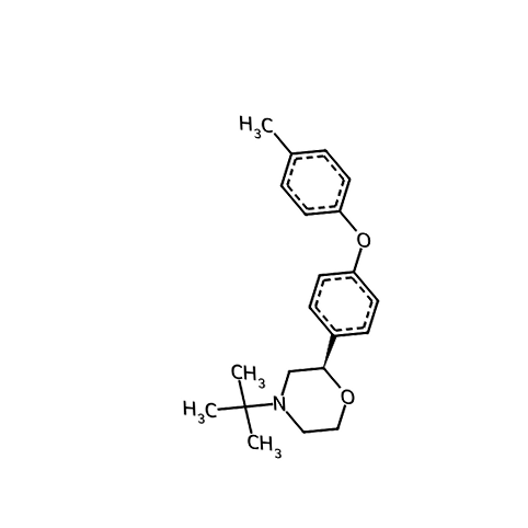 Cc1ccc(Oc2ccc([C@@H]3CN(C(C)(C)C)CCO3)cc2)cc1